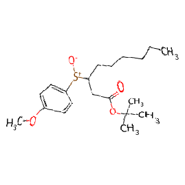 CCCCCCC(CC(=O)OC(C)(C)C)[S+]([O-])c1ccc(OC)cc1